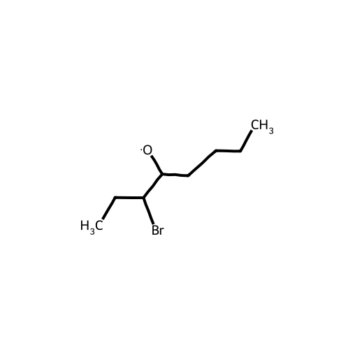 CCCCC([O])C(Br)CC